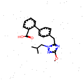 COc1nc(Cc2ccc(-c3ccccc3C(=O)O)cc2)n(CC(C)C)n1